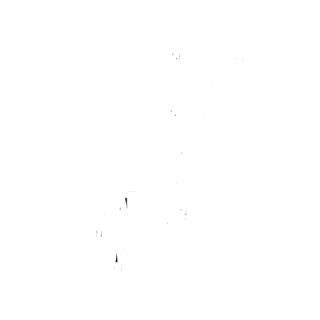 CN1C(=O)[C@](O)(c2cc(-c3cccc(-c4cc(C5CC5)c(N)cn4)c3)no2)C[C@H]1C(F)(F)F